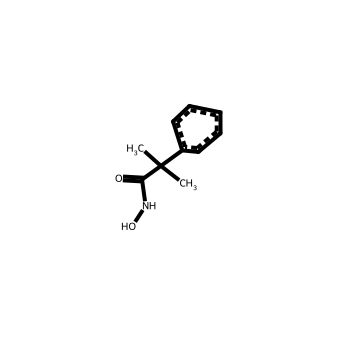 CC(C)(C(=O)NO)c1ccccc1